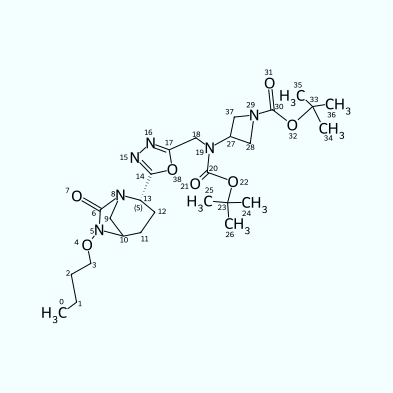 CCCCON1C(=O)N2CC1CC[C@H]2c1nnc(CN(C(=O)OC(C)(C)C)C2CN(C(=O)OC(C)(C)C)C2)o1